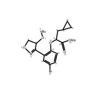 CCCCOC1CON=C1c1cc(Br)ccc1OC(CC1CC1)C(=O)OC